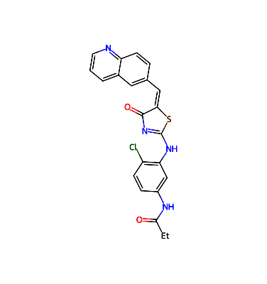 CCC(=O)Nc1ccc(Cl)c(NC2=NC(=O)C(=Cc3ccc4ncccc4c3)S2)c1